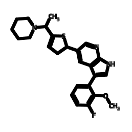 COc1c(F)cccc1-c1c[nH]c2ncc(C3CC=C(C(C)N4CCCCC4)S3)cc12